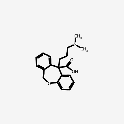 CN(C)CCCC1(C(=O)O)c2ccccc2COc2ccccc21